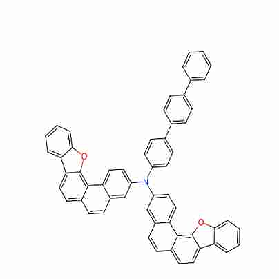 c1ccc(-c2ccc(-c3ccc(N(c4ccc5c(ccc6ccc7c8ccccc8oc7c65)c4)c4ccc5c(ccc6ccc7c8ccccc8oc7c65)c4)cc3)cc2)cc1